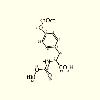 CCCCCCCCOc1ccc(C[C@H](NC(=O)OC(C)(C)C)C(=O)O)cc1